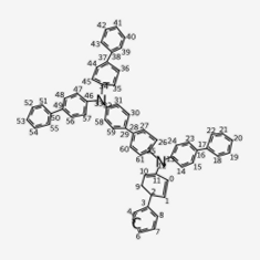 C1=CC(c2ccccc2)CC=C1N(c1ccc(-c2ccccc2)cc1)c1ccc(-c2ccc(N(c3ccc(-c4ccccc4)cc3)c3ccc(-c4ccccc4)cc3)cc2)cc1